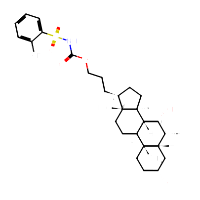 CC[C@H]1[C@@H](O)[C@@H]2[C@H](CC[C@]3(C)[C@@H](CCCOC(=O)NS(=O)(=O)c4ccccc4C(F)(F)F)CC[C@@H]23)[C@@]2(C)CC[C@@H](O)C[C@@H]12